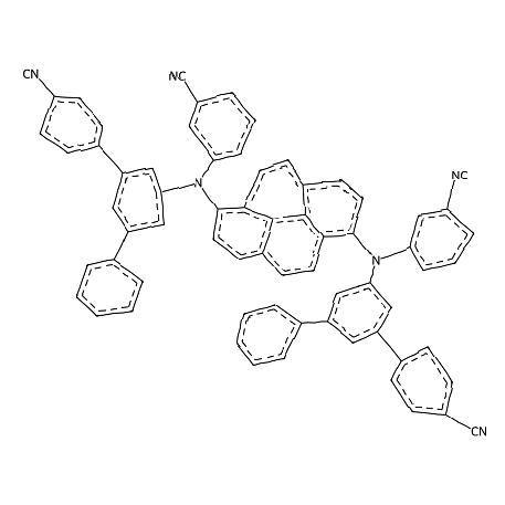 [C-]#[N+]c1ccc(-c2cc(-c3ccccc3)cc(N(c3cccc(C#N)c3)c3ccc4ccc5c(N(c6cccc([N+]#[C-])c6)c6cc(-c7ccccc7)cc(-c7ccc(C#N)cc7)c6)ccc6ccc3c4c65)c2)cc1